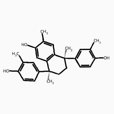 Cc1cc([C@]2(C)CC[C@](C)(c3ccc(O)c(C)c3)c3cc(C)c(O)cc32)ccc1O